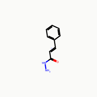 NNC(=O)/C=C/c1ccccc1